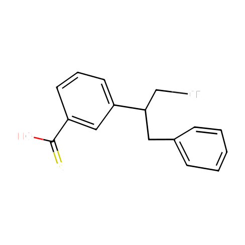 OC(=S)c1cccc(C(Cc2ccccc2)CC(F)(F)F)c1